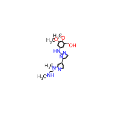 CNCCN(C)c1cc(-c2ccnc(Nc3cc(CO)c(OC)c(OC)c3)n2)ccn1